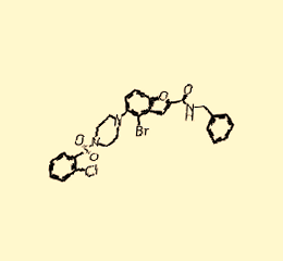 O=C(NCc1ccccc1)c1cc2c(Br)c(N3CCN(S(=O)(=O)c4ccccc4Cl)CC3)ccc2o1